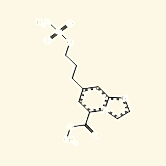 COC(=O)c1cc(CCCOS(C)(=O)=O)cc2nccn12